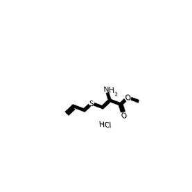 C=CCSCC(N)C(=O)OC.Cl